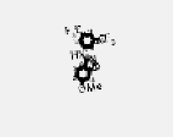 COc1ccc2c(Nc3cc(C(F)(F)F)cc(C(F)(F)F)c3)noc2c1